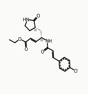 CCOC(=O)C=C[C@H](C[C@@H]1CCNC1=O)NC(=O)C=Cc1ccc(Cl)cc1